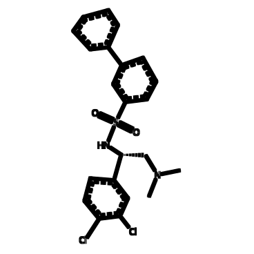 CN(C)C[C@@H](NS(=O)(=O)c1cccc(-c2ccccc2)c1)c1ccc(Cl)c(Cl)c1